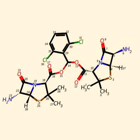 CC1(C)S[C@@H]2[C@H](N)C(=O)N2[C@H]1C(=O)OC(OC(=O)[C@@H]1N2C(=O)[C@@H](N)[C@H]2SC1(C)C)c1c(Cl)cccc1Cl